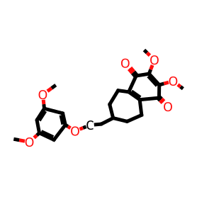 COC1=C(OC)C(=O)C2=C(CCC(CCOc3cc(OC)cc(OC)c3)CC2)C1=O